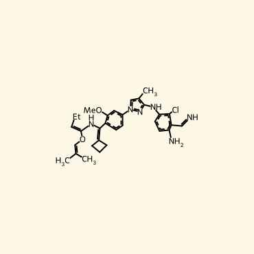 CC/C=C(\NC(=C1CCC1)c1ccc(-n2cc(C)c(Nc3ccc(N)c(C=N)c3Cl)n2)cc1OC)OC=C(C)C